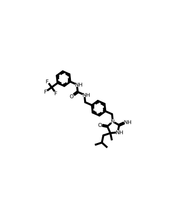 CC(C)CC1(C)NC(=N)N(Cc2ccc(CNC(=O)Nc3cccc(C(F)(F)F)c3)cc2)C1=O